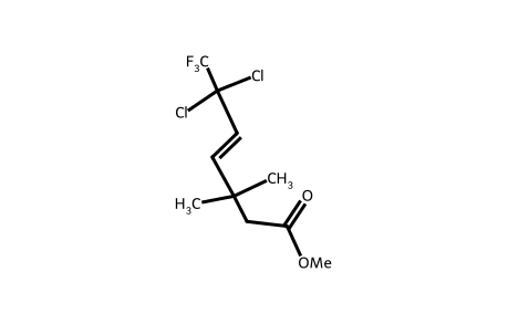 COC(=O)CC(C)(C)/C=C/C(Cl)(Cl)C(F)(F)F